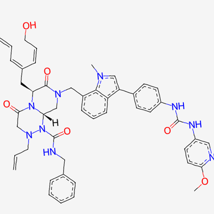 C=C/C=C(\C=C/CO)C[C@H]1C(=O)N(Cc2cccc3c(-c4ccc(NC(=O)Nc5ccc(OC)nc5)cc4)cn(C)c23)C[C@H]2N1C(=O)CN(CC=C)N2C(=O)NCc1ccccc1